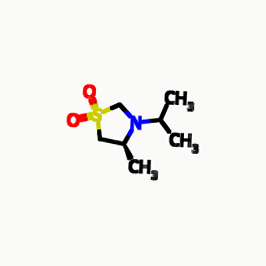 CC(C)N1CS(=O)(=O)C[C@@H]1C